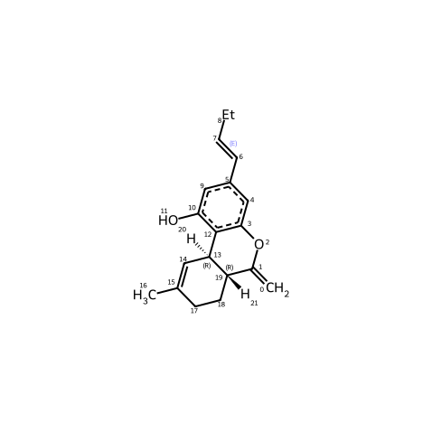 C=C1Oc2cc(/C=C/CC)cc(O)c2[C@@H]2C=C(C)CC[C@@H]12